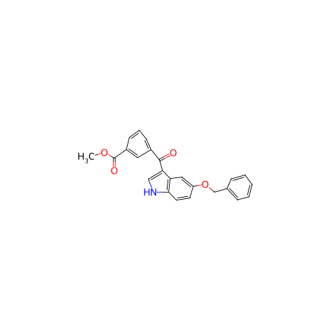 COC(=O)c1cccc(C(=O)c2c[nH]c3ccc(OCc4ccccc4)cc23)c1